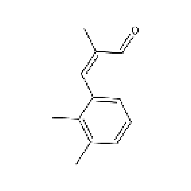 CC(C=O)=Cc1cccc(C)c1C